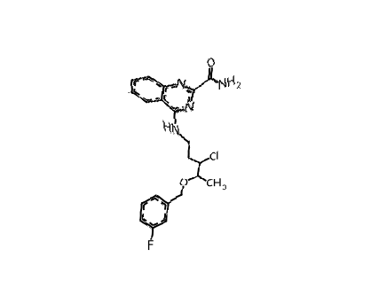 CC(OCc1cccc(F)c1)C(Cl)CCNc1nc(C(N)=O)nc2cc[c]cc12